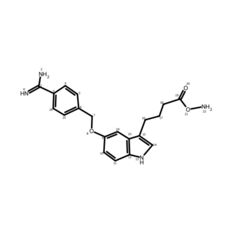 N=C(N)c1ccc(COc2ccc3[nH]cc(CCCC(=O)ON)c3c2)cc1